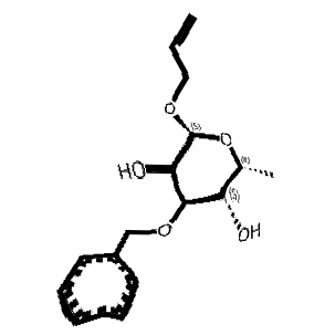 C=CCO[C@H]1O[C@H](C)[C@H](O)C(OCc2ccccc2)C1O